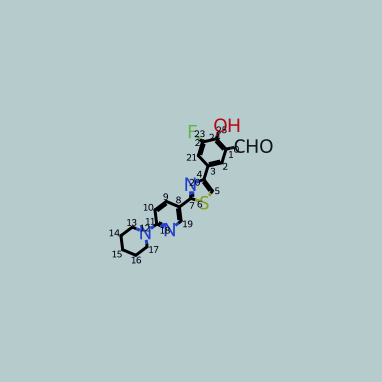 O=Cc1cc(-c2csc(-c3ccc(N4CCCCC4)nc3)n2)cc(F)c1O